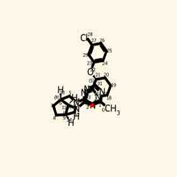 Cc1cc(N2C[C@H]3CC[C@@H](C2)[C@@H]3Nc2nc3n(n2)CCC[C@@H]3Oc2cccc(Cl)c2)ncn1